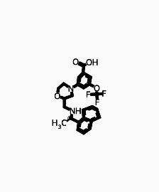 C[C@@H](NCC1CN(c2cc(OC(F)(F)F)cc(C(=O)O)c2)CCO1)c1cccc2ccccc12